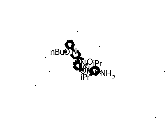 CCCCOc1ccccc1N1CCC(CNC(=O)Nc2c(C(C)C)cc(N)cc2C(C)C)(c2cccc(OC)c2)CC1